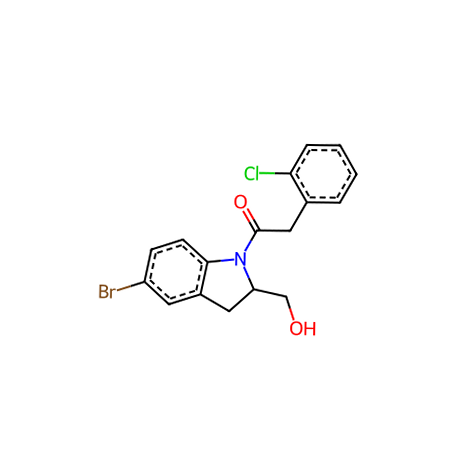 O=C(Cc1ccccc1Cl)N1c2ccc(Br)cc2CC1CO